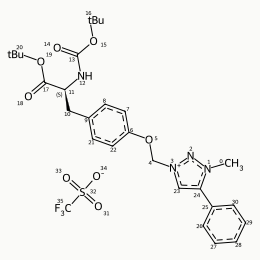 Cn1n[n+](COc2ccc(C[C@H](NC(=O)OC(C)(C)C)C(=O)OC(C)(C)C)cc2)cc1-c1ccccc1.O=S(=O)([O-])C(F)(F)F